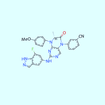 COc1ccc(N2c3nc(Nc4cc(F)c5[nH]ncc5c4)ncc3N(c3cccc(C#N)c3)C(=O)[C@H]2C)cc1